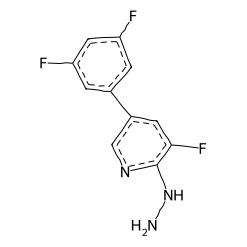 NNc1ncc(-c2cc(F)cc(F)c2)cc1F